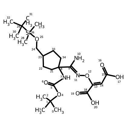 CC(C)(C)OC(=O)NC1(/C(N)=N/O/C(=C\C(=O)O)C(=O)O)CCC(CO[Si](C)(C)C(C)(C)C)CC1